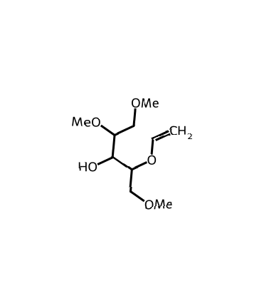 C=COC(COC)C(O)C(COC)OC